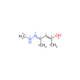 CN/N=C(C)/C=C(\C)O